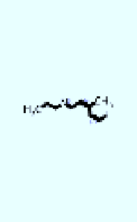 CCC/N=C/C=C(C)\C=C/I